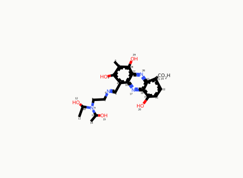 Cc1c(O)c(C=NCCN(C(C)O)C(C)O)c2nc3c(O)ccc(C(=O)O)c3nc2c1O